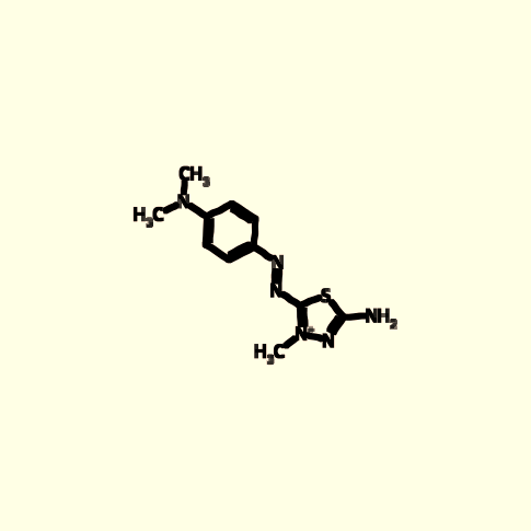 CN(C)c1ccc(N=Nc2sc(N)n[n+]2C)cc1